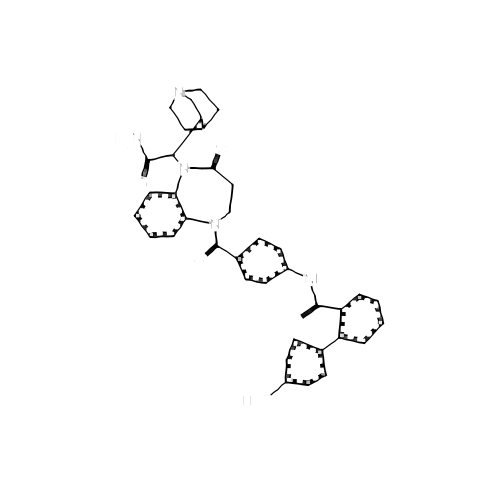 Cc1ccc(-c2ccccc2C(=O)Nc2ccc(C(=O)N3CCC(=O)N(C(C(N)=O)C4CN5CCC4CC5)c4ccccc43)cc2)cc1